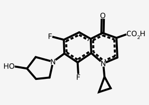 O=C(O)c1cn(C2CC2)c2c(F)c(N3CCC(O)C3)c(F)cc2c1=O